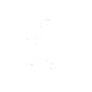 NCCOP(=O)(O)OCC(COC(N)=O)OC(N)=O